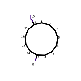 IC1CCCCCCCC(I)CCCC1